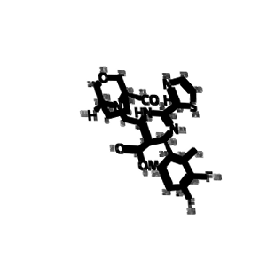 COC(=O)C1=C(CN2[C@@H]3CC[C@@]2(C(=O)O)COC3)NC(c2nccs2)=N[C@H]1c1ccc(F)c(F)c1C